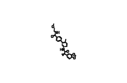 COCCNC(=O)c1ccc(-c2cc(NC(=O)C3(c4ccc5c(c4)OCO5)CC3)ccc2C)cc1